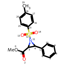 COC(=O)C1C(c2ccccc2)N1S(=O)(=O)c1ccc(C)cc1